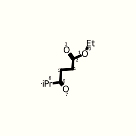 CCOC(=O)CCC(=O)[C](C)C